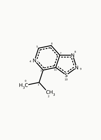 CC(C)c1nccc2nnsc12